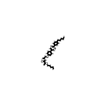 CCCCCOC(C)C(=O)OC(C)COc1ccc(-c2cnc(-c3ccc(CCCCC)cc3)nc2)cc1